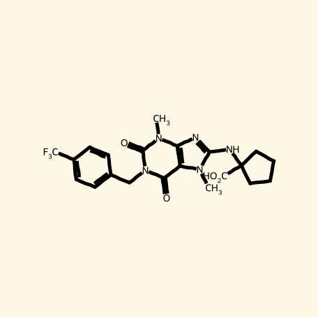 Cn1c(NC2(C(=O)O)CCCC2)nc2c1c(=O)n(Cc1ccc(C(F)(F)F)cc1)c(=O)n2C